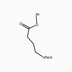 CCCCCCCCC(=O)OC(C)C